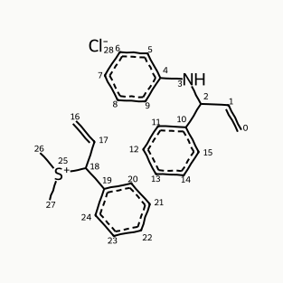 C=CC(Nc1ccccc1)c1ccccc1.C=CC(c1ccccc1)[S+](C)C.[Cl-]